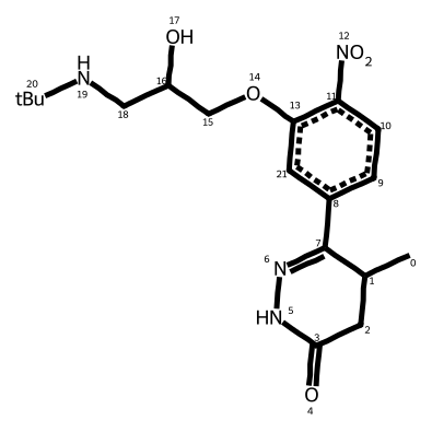 CC1CC(=O)NN=C1c1ccc([N+](=O)[O-])c(OCC(O)CNC(C)(C)C)c1